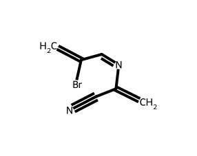 C=C(Br)/C=N\C(=C)C#N